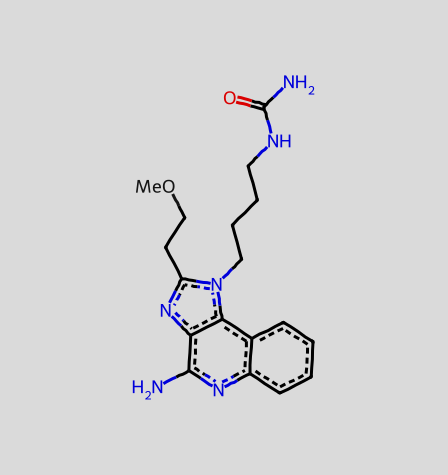 COCCc1nc2c(N)nc3ccccc3c2n1CCCCNC(N)=O